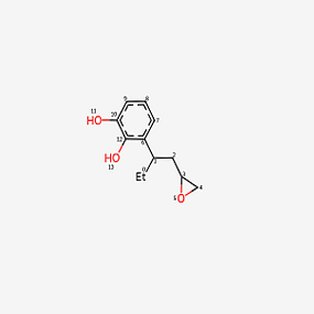 CCC(CC1CO1)c1cccc(O)c1O